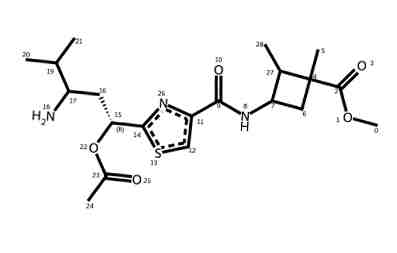 COC(=O)C1(C)CC(NC(=O)c2csc([C@@H](CC(N)C(C)C)OC(C)=O)n2)C1C